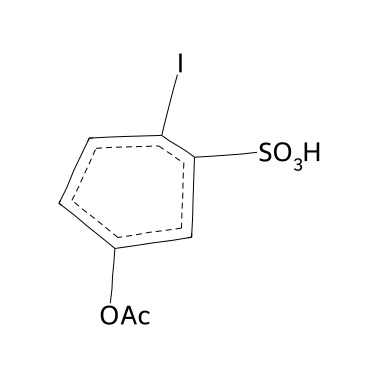 CC(=O)Oc1ccc(I)c(S(=O)(=O)O)c1